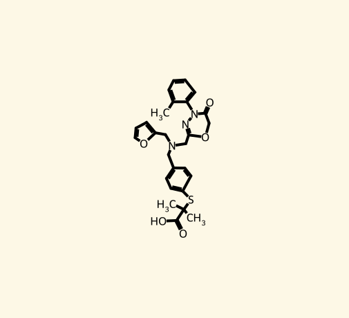 Cc1ccccc1N1N=C(CN(Cc2ccc(SC(C)(C)C(=O)O)cc2)Cc2ccco2)OCC1=O